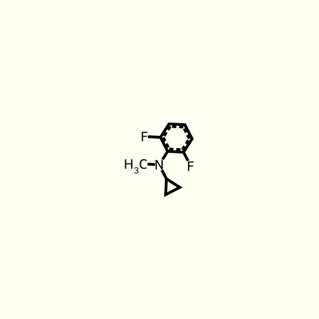 CN(c1c(F)cccc1F)C1CC1